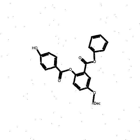 CCCCCCCCCCOc1ccc(OC(=O)c2ccc(O)cc2)c(C(=O)Oc2ccccc2)c1